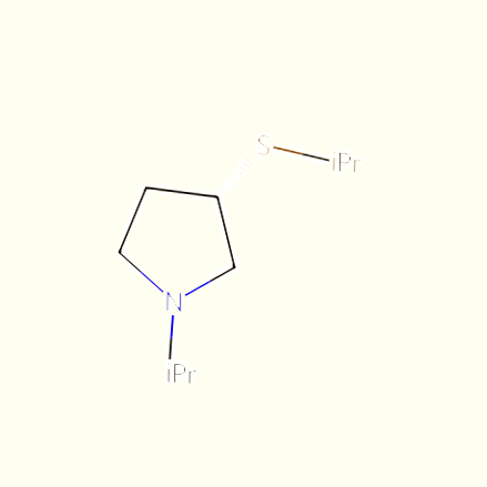 CC(C)S[C@H]1CCN(C(C)C)C1